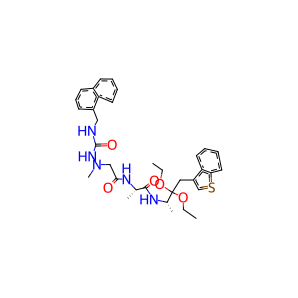 CCOC(Cc1csc2ccccc12)(OCC)[C@H](C)NC(=O)[C@H](C)NC(=O)CN(C)NC(=O)NCc1cccc2ccccc12